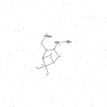 COCC1C(NC(C)(C)C)CC2CC1C2(C)C